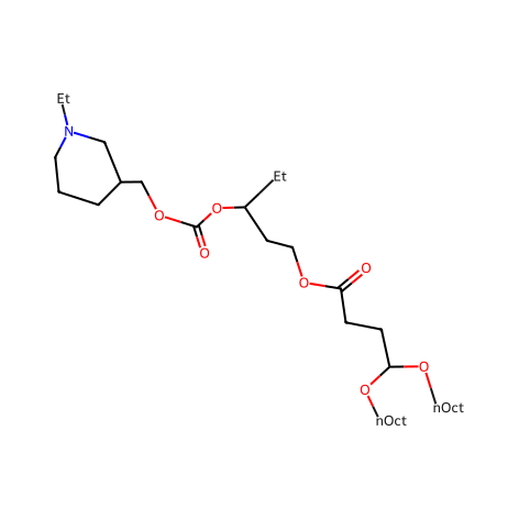 [CH2]CC(CCOC(=O)CCC(OCCCCCCCC)OCCCCCCCC)OC(=O)OCC1CCCN(CC)C1